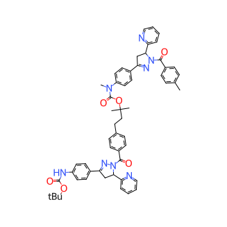 Cc1ccc(C(=O)N2N=C(c3ccc(N(C)C(=O)OC(C)(C)CCc4ccc(C(=O)N5N=C(c6ccc(NC(=O)OC(C)(C)C)cc6)CC5c5ccccn5)cc4)cc3)CC2c2ccccn2)cc1